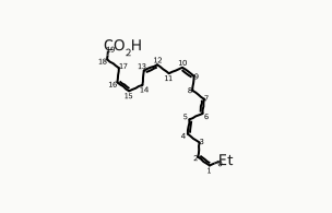 CC/C=C\C/C=C\C=C/C/C=C\C/C=C\C/C=C\CCC(=O)O